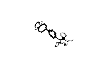 O=C(O)C(C(=O)O)c1ccc(C2CCC3(CC2)OCCO3)cc1